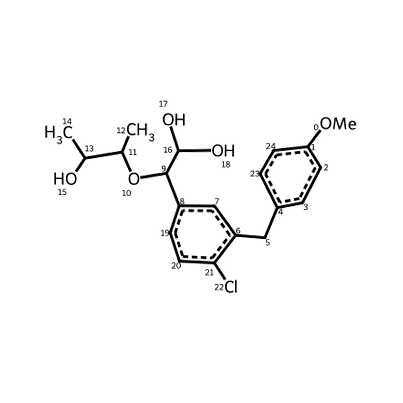 COc1ccc(Cc2cc(C(OC(C)C(C)O)C(O)O)ccc2Cl)cc1